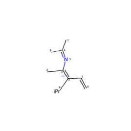 C=C/C(=C(/C)N=C(C)C)C(C)C